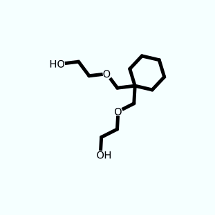 OCCOCC1(COCCO)CCCCC1